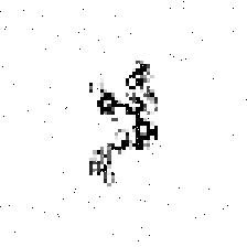 CN1CCN(CCC(=O)Nc2cncc(-c3cc(-c4cc(Cl)ccc4F)nc4c3OCCN4C(=O)OC(C)(C)C)c2)CC1=O